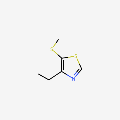 CCc1ncsc1SC